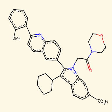 COc1ccccc1-c1ccc2cc(-c3c(C4CCCCC4)c4ccc(C(=O)O)cc4n3CC(=O)N3CCOCC3)ccc2n1